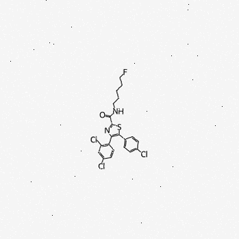 O=C(NCCCCCF)c1nc(-c2ccc(Cl)cc2Cl)c(-c2ccc(Cl)cc2)s1